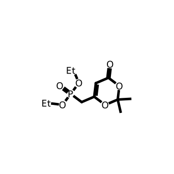 CCOP(=O)(CC1=CC(=O)OC(C)(C)O1)OCC